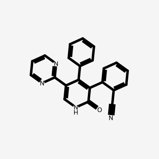 N#Cc1ccccc1-c1c(-c2ccccc2)c(-c2ncccn2)c[nH]c1=O